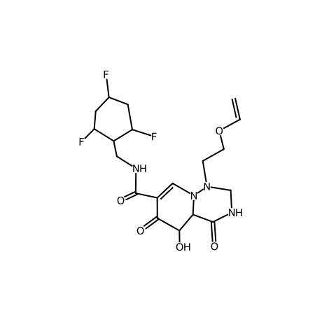 C=COCCN1CNC(=O)C2C(O)C(=O)C(C(=O)NCC3C(F)CC(F)CC3F)=CN21